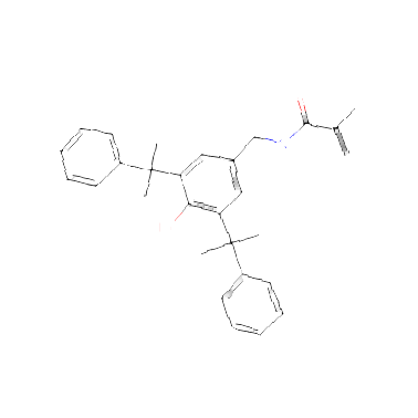 C=C(C)C(=O)NCc1cc(C(C)(C)c2ccccc2)c(O)c(C(C)(C)c2ccccc2)c1